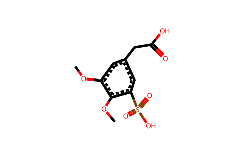 COc1cc(CC(=O)O)cc(S(=O)(=O)O)c1OC